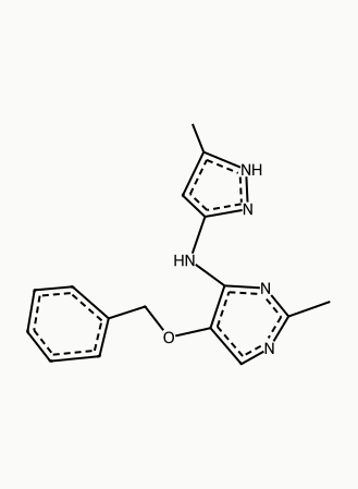 Cc1ncc(OCc2ccccc2)c(Nc2cc(C)[nH]n2)n1